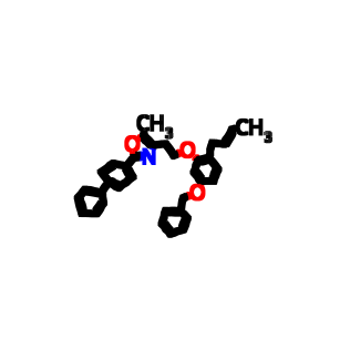 CC=CCc1ccc(OCc2ccccc2)cc1OCCc1nc(-c2ccc(-c3ccccc3)cc2)oc1C